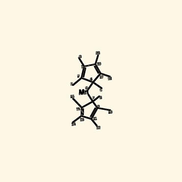 CC1=C(C)[C](C)([Mn][C]2(C)C(C)=C(C)C(C)=C2C)C(C)=C1C